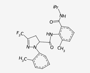 Cc1ccccc1N1N=C(C(F)(F)F)CC1C(=O)Nc1c(C)cccc1C(=O)NC(C)C